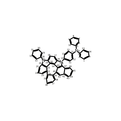 c1ccc(N(c2ccccc2)c2ccc(-n3c4ccc5c6c7c(cccc7n5-c5ccccc5)c5ccccc5c5cc7ccccc7c3c5c64)cc2)cc1